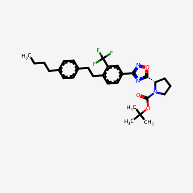 CCCCc1ccc(CCc2ccc(-c3noc([C@@H]4CCCN4C(=O)OC(C)(C)C)n3)cc2C(F)(F)F)cc1